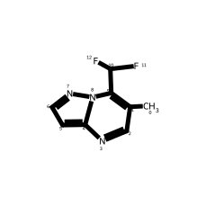 Cc1cnc2ccnn2c1C(F)F